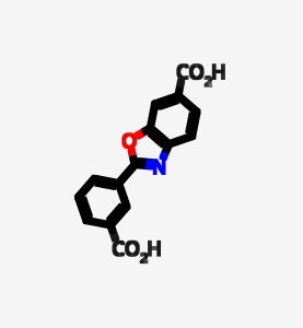 O=C(O)c1cccc(-c2nc3ccc(C(=O)O)cc3o2)c1